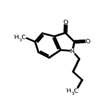 CCCCN1C(=O)C(=O)c2cc(C)ccc21